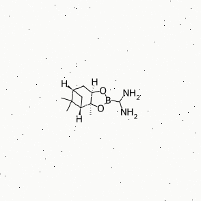 CC1(C)[C@@H]2C[C@H]3OB(C(N)N)O[C@@]3(C)[C@H]1C2